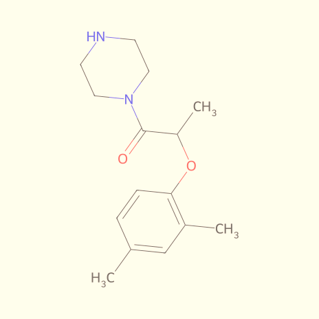 Cc1ccc(OC(C)C(=O)N2CCNCC2)c(C)c1